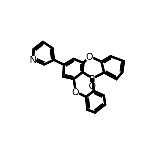 O=P12c3ccccc3Oc3cc(-c4cccnc4)cc(c31)Oc1ccccc12